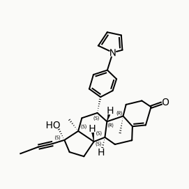 CC#C[C@]1(O)CC[C@H]2[C@@H]3CCC4=CC(=O)CC[C@]4(C)[C@H]3[C@@H](c3ccc(-n4cccc4)cc3)C[C@@]21C